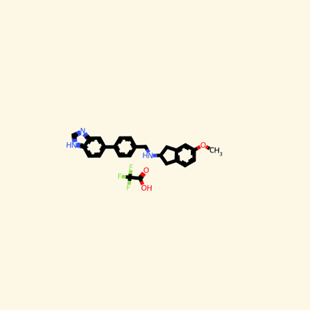 COc1ccc2c(c1)CC(NCc1ccc(-c3ccc4[nH]cnc4c3)cc1)C2.O=C(O)C(F)(F)F